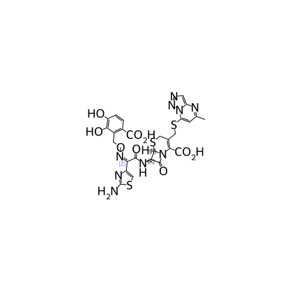 Cc1cc(SCC2=C(C(=O)O)N3C(=O)[C@@H](NC(=O)/C(=N\OCc4c(C(=O)O)ccc(O)c4O)c4csc(N)n4)[C@H]3SC2)n2nncc2n1